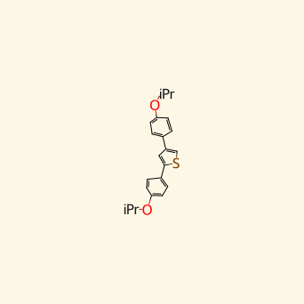 CC(C)Oc1ccc(-c2csc(-c3ccc(OC(C)C)cc3)c2)cc1